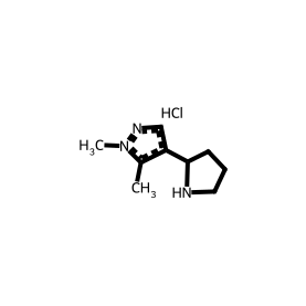 Cc1c(C2CCCN2)cnn1C.Cl